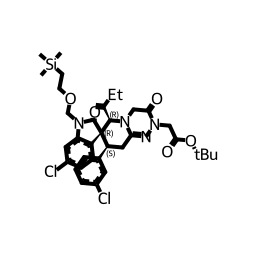 C=C(CC)[C@H]1N2CC(=O)N(CC(=O)OC(C)(C)C)N=C2C[C@@H](c2cccc(Cl)c2)[C@]12C(=O)N(COCC[Si](C)(C)C)c1cc(Cl)ccc12